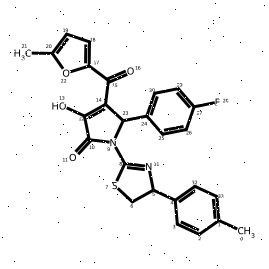 Cc1ccc(C2CSC(N3C(=O)C(O)=C(C(=O)c4ccc(C)o4)C3c3ccc(F)cc3)=N2)cc1